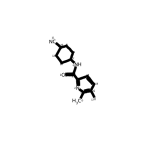 Cc1nc(C(=O)NC2CCC(C#N)CC2)ccc1I